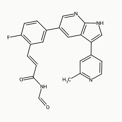 Cc1cc(-c2c[nH]c3ncc(-c4ccc(F)c(C=CC(=O)NC=O)c4)cc23)ccn1